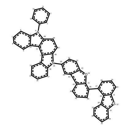 c1ccc(-n2c3ccccc3c3c4c5ccccc5n(-c5ccc6oc7c(-c8cccc9sc%10ccccc%10c89)cccc7c6c5)c4ccc32)cc1